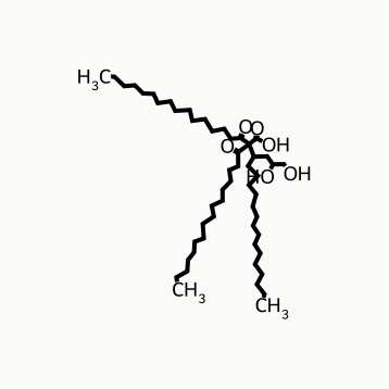 CCCCCCCCCCCCCCCC(=O)C(C(=O)O)(C(=O)CCCCCCCCCCCCCCC)C(CCCCCCCCCCCCCCC)CC(O)CO